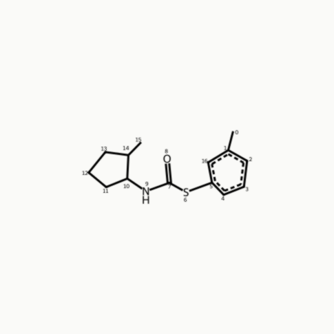 Cc1cccc(SC(=O)NC2CCCC2C)c1